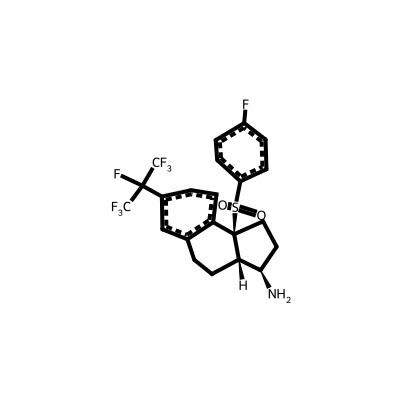 N[C@@H]1CC[C@@]2(S(=O)(=O)c3ccc(F)cc3)c3ccc(C(F)(C(F)(F)F)C(F)(F)F)cc3CC[C@@H]12